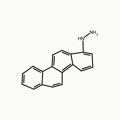 NNc1cccc2c1ccc1c3ccccc3ccc21